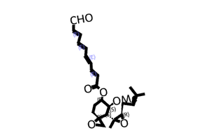 CO[C@H]1[C@H](C2(C)O[C@@H]2CC=C(C)C)[C@]2(CC[C@H]1OC(=O)/C=C/C=C/C=C/C=C/C=O)CO2